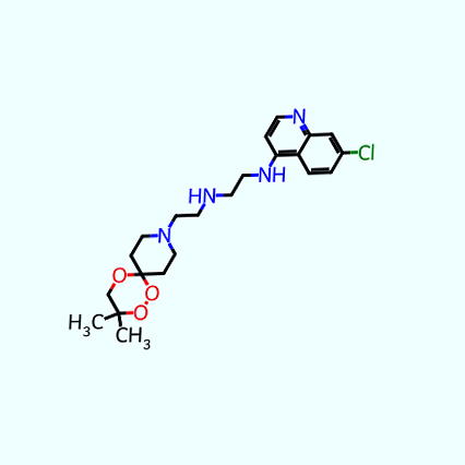 CC1(C)COC2(CCN(CCNCCNc3ccnc4cc(Cl)ccc34)CC2)OO1